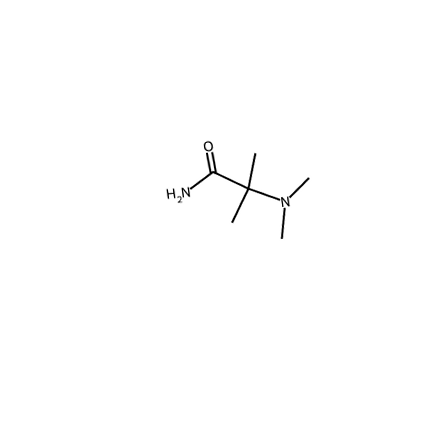 CN(C)C(C)(C)C(N)=O